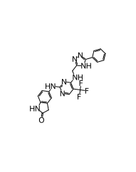 O=C1Cc2cc(Nc3ncc(C(F)(F)F)c(NCc4nnc(-c5ccccc5)[nH]4)n3)ccc2N1